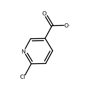 [O]C(=O)c1ccc(Cl)nc1